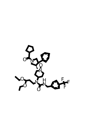 CCOC(CCN(C(=O)NCc1ccc(C(F)(F)F)cc1)C1CCN(O[C@]2(c3ccccc3)CN(C(=O)C3CCCC3)C[C@@H]2C)CC1)OCC